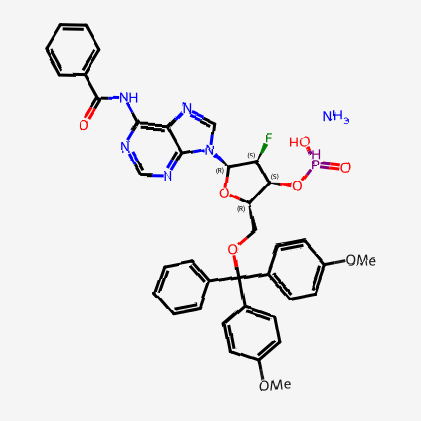 COc1ccc(C(OC[C@H]2O[C@@H](n3cnc4c(NC(=O)c5ccccc5)ncnc43)[C@@H](F)[C@H]2O[PH](=O)O)(c2ccccc2)c2ccc(OC)cc2)cc1.N